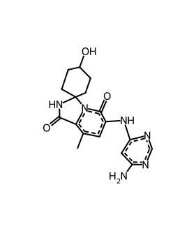 Cc1cc(Nc2cc(N)ncn2)c(=O)n2c1C(=O)NC21CCC(O)CC1